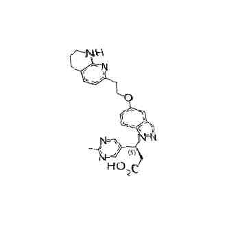 Cc1ncc([C@H](CC(=O)O)n2ncc3cc(OCCc4ccc5c(n4)NCCC5)ccc32)cn1